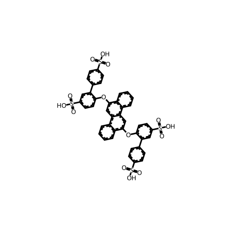 O=S(=O)(O)c1ccc(-c2cc(S(=O)(=O)O)ccc2Oc2cc3c4ccccc4c(Oc4ccc(S(=O)(=O)O)cc4-c4ccc(S(=O)(=O)O)cc4)cc3c3ccccc23)cc1